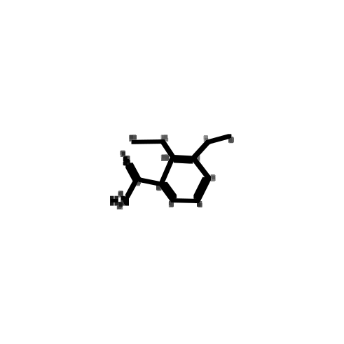 CCc1cccc(C(N)=S)c1CC